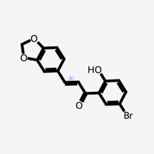 O=C(/C=C/c1ccc2c(c1)OCO2)c1cc(Br)ccc1O